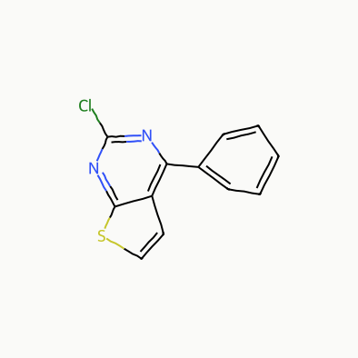 Clc1nc(-c2ccccc2)c2ccsc2n1